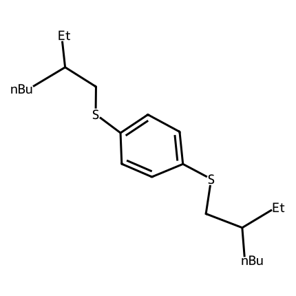 CCCCC(CC)CSc1ccc(SCC(CC)CCCC)cc1